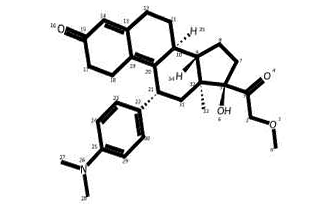 COCC(=O)[C@@]1(O)CC[C@H]2[C@@H]3CCC4=CC(=O)CCC4=C3[C@@H](c3ccc(N(C)C)cc3)C[C@@]21C